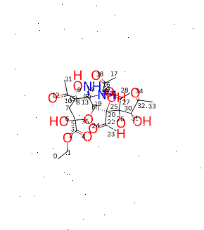 CCOC(=O)C1(O)C[C@@](O)(C(C)=O)[C@](N)(NC(C)=O)[C@H](C(O)(C(C)=O)C(O)(C(C)=O)C(O)C(C)=O)O1